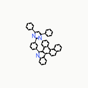 c1ccc(-c2cc(-c3ccccc3)nc(-c3cccc(-c4nc5ccccc5c5c6ccc7ccccc7c6c6ccccc6c45)c3)n2)cc1